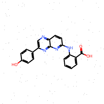 O=C(O)c1ccccc1Nc1ccc2ncc(-c3ccc(O)cc3)nc2n1